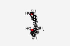 C[C@]12CC[C@@H]3c4ccc(OC(=O)CON=C5CC=C6C(=C5CN)C(=O)OC65c6ccc(O)cc6Oc6cc(O)ccc65)cc4CC[C@H]3[C@@H]1C[C@@H](O)[C@@H]2O